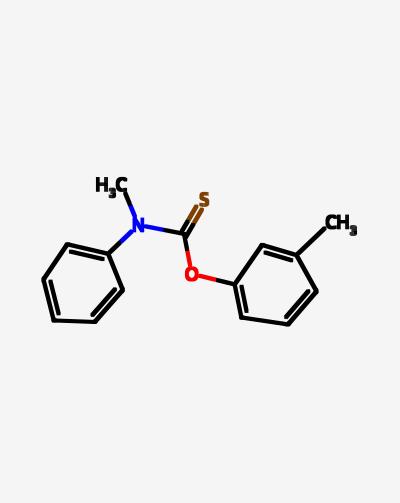 Cc1cccc(OC(=S)N(C)c2ccccc2)c1